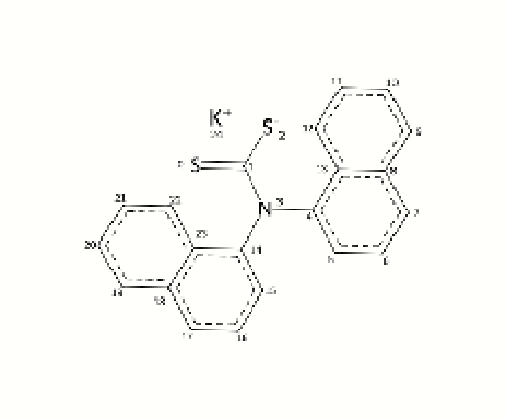 S=C([S-])N(c1cccc2ccccc12)c1cccc2ccccc12.[K+]